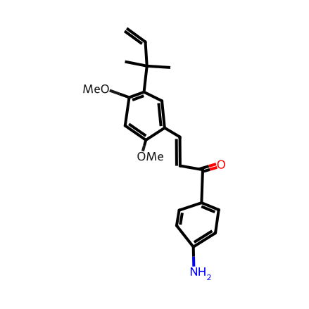 C=CC(C)(C)c1cc(C=CC(=O)c2ccc(N)cc2)c(OC)cc1OC